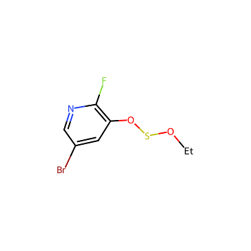 CCOSOc1cc(Br)cnc1F